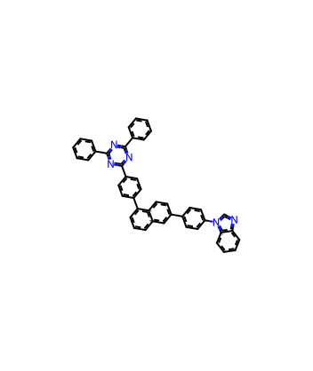 c1ccc(-c2nc(-c3ccccc3)nc(-c3ccc(-c4cccc5cc(-c6ccc(-n7cnc8ccccc87)cc6)ccc45)cc3)n2)cc1